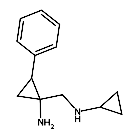 NC1(CNC2CC2)CC1c1ccccc1